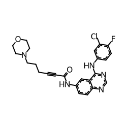 O=C(C#CCCCN1CCOCC1)Nc1ccc2ncnc(Nc3ccc(F)c(Cl)c3)c2c1